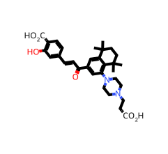 CC1(C)CCC(C)(C)c2c(N3CCN(CCC(=O)O)CC3)cc(C(=O)C=Cc3ccc(C(=O)O)c(O)c3)cc21